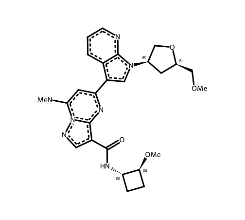 CNc1cc(-c2cn([C@H]3CO[C@@H](COC)C3)c3ncccc23)nc2c(C(=O)N[C@H]3CC[C@@H]3OC)cnn12